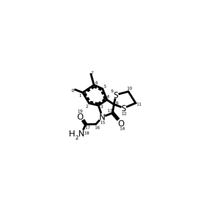 Cc1cc2c(cc1C)C1(SCCS1)C(=O)N2CC(N)=O